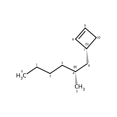 CCCC[C@@H](C)C[C@@H]1C=CC1